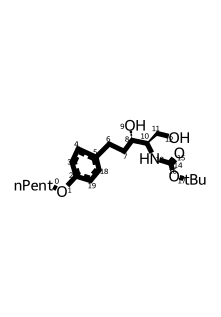 CCCCCOc1ccc(CC[C@H](O)[C@@H](CO)NC(=O)OC(C)(C)C)cc1